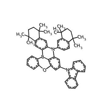 CC1(C)CCC(C)(C)c2cc(N3c4cc5c(cc4B4c6ccccc6Oc6cc(-n7c8ccccc8c8ccccc87)cc3c64)C(C)(C)CCC5(C)C)ccc21